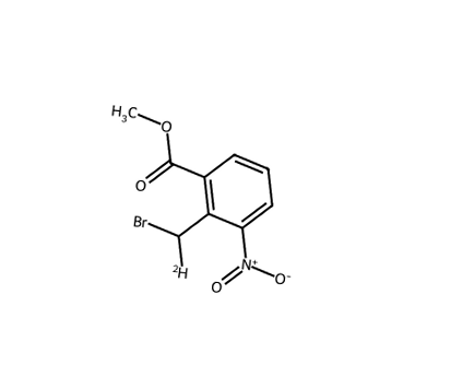 [2H]C(Br)c1c(C(=O)OC)cccc1[N+](=O)[O-]